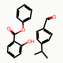 CC(C)c1ccc(C=O)cc1.O=C(Oc1ccccc1)c1ccccc1O